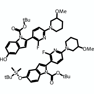 COC1CCCN(c2ccc(-c3cc4cc(O)ccc4n3C(=O)OC(C)(C)C)c(F)n2)C1.COC1CCCN(c2ccc(-c3cc4cc(O[Si](C)(C)C(C)(C)C)ccc4n3C(=O)OC(C)(C)C)c(F)n2)C1